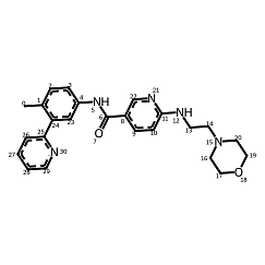 Cc1ccc(NC(=O)c2ccc(NCCN3CCOCC3)nc2)cc1-c1ccccn1